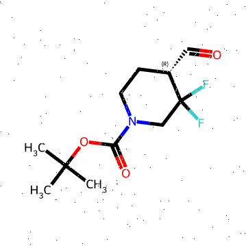 CC(C)(C)OC(=O)N1CC[C@H](C=O)C(F)(F)C1